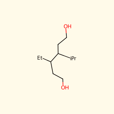 CCC(CCO)C(CCO)C(C)C